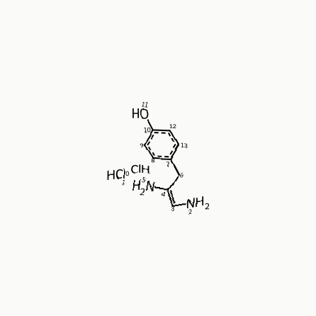 Cl.Cl.N/C=C(/N)Cc1ccc(O)cc1